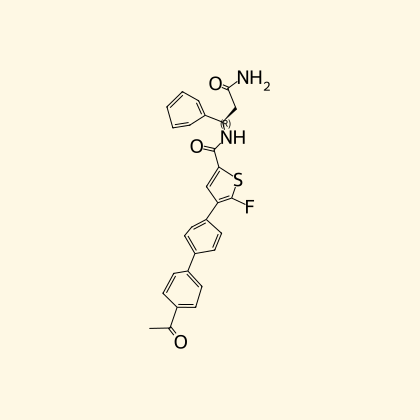 CC(=O)c1ccc(-c2ccc(-c3cc(C(=O)N[C@H](CC(N)=O)c4ccccc4)sc3F)cc2)cc1